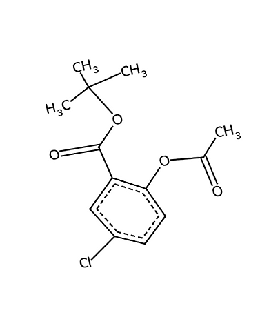 CC(=O)Oc1ccc(Cl)cc1C(=O)OC(C)(C)C